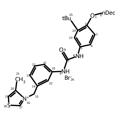 CCCCCCCCCCOc1ccc(NC(=O)Nc2cccc(C[n+]3cscc3C)c2)cc1C(C)(C)C.[Br-]